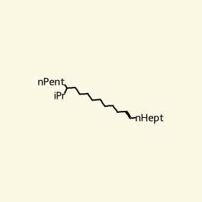 [CH2]CCCCCC/C=C/CCCCCCCCC(CCCC[CH2])C(C)C